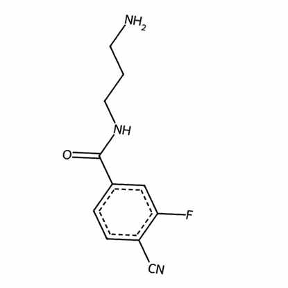 N#Cc1ccc(C(=O)NCCCN)cc1F